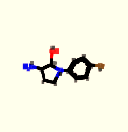 NC1CCN(c2ccc(Br)cc2)C1O